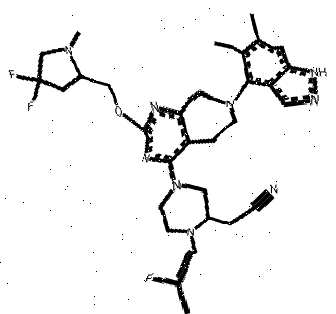 CC(F)=CN1CCN(c2nc(OCC3CC(F)(F)CN3C)nc3c2CCN(c2c(C)c(C)cc4[nH]ncc24)C3)CC1CC#N